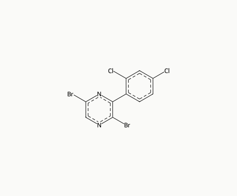 Clc1ccc(-c2nc(Br)cnc2Br)c(Cl)c1